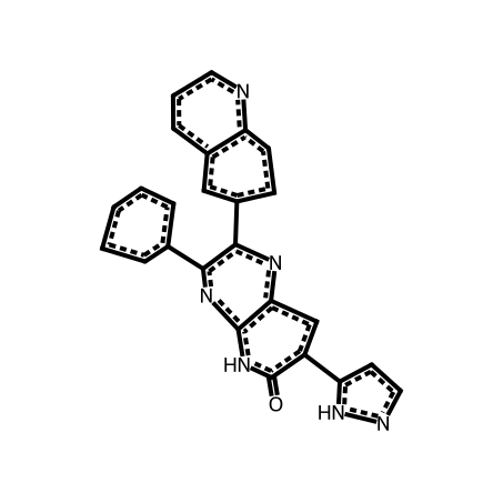 O=c1[nH]c2nc(-c3ccccc3)c(-c3ccc4ncccc4c3)nc2cc1-c1ccn[nH]1